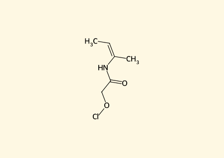 C/C=C(/C)NC(=O)COCl